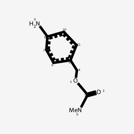 CNC(=O)OCc1ccc(N)cc1